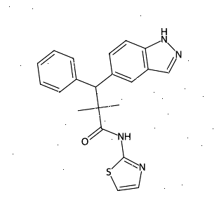 CC(C)(C(=O)Nc1nccs1)C(c1ccccc1)c1ccc2[nH]ncc2c1